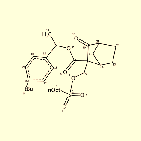 CCCCCCCCS(=O)(=O)OCC1(C(=O)OC(C)c2ccc(C(C)(C)C)cc2)C(=O)C2CCC1C2